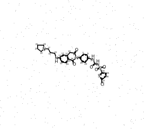 O=C(Nc1ccc(N2C(=O)Cc3cc(NCCCN4CCCC4)ccc3C2=O)cc1)NS(=O)(=O)c1ccc(Cl)s1